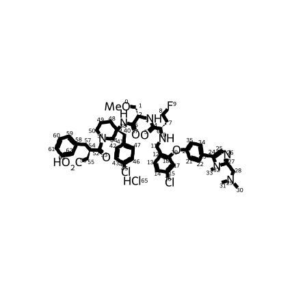 COC[C@H](NC(=O)[C@H](CCF)NCc1ccc(Cl)cc1Oc1ccc(-c2cnc(CN(C)C)n2C)cc1)C(=O)N[C@@]1(Cc2ccc(Cl)cc2)CCCN(C(=O)[C@@H](CC(=O)O)Cc2ccccc2)C1.Cl